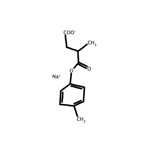 Cc1ccc(OC(=O)C(C)CC(=O)[O-])cc1.[Na+]